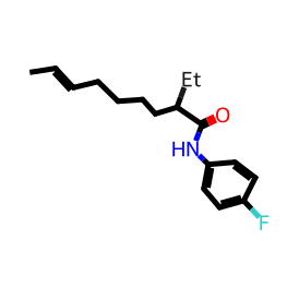 CC=CCCCCC(CC)C(=O)Nc1ccc(F)cc1